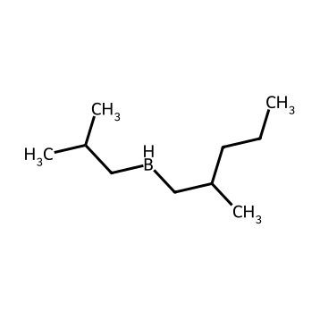 CCCC(C)CBCC(C)C